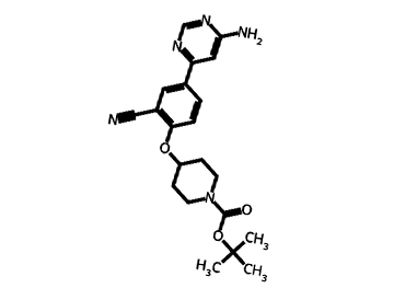 CC(C)(C)OC(=O)N1CCC(Oc2ccc(-c3cc(N)ncn3)cc2C#N)CC1